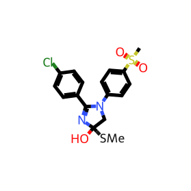 CSC1(O)CN(c2ccc(S(C)(=O)=O)cc2)C(c2ccc(Cl)cc2)=N1